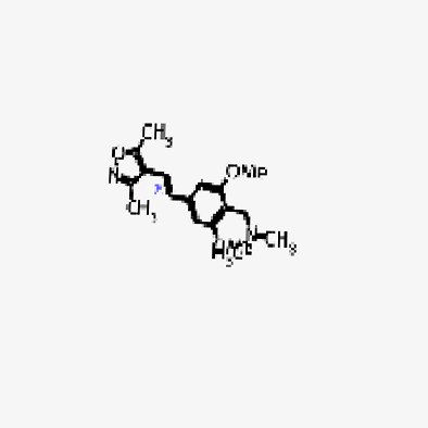 COc1cc(/C=C/c2c(C)noc2C)cc(OC)c1CN(C)C